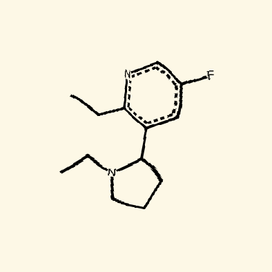 CCc1ncc(F)cc1C1CCCN1CC